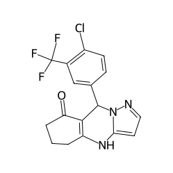 O=C1CCCC2=C1C(c1ccc(Cl)c(C(F)(F)F)c1)n1nccc1N2